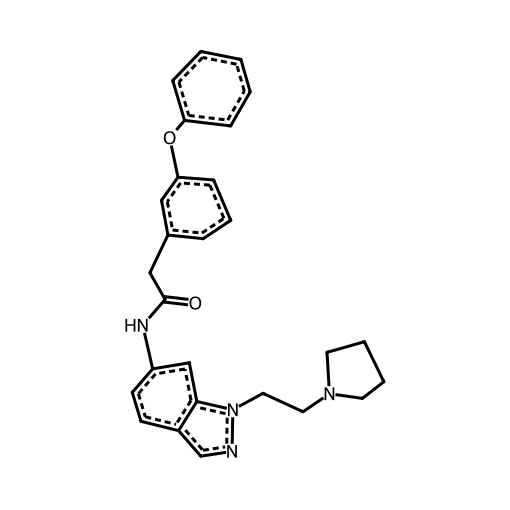 O=C(Cc1cccc(Oc2ccccc2)c1)Nc1ccc2cnn(CCN3CCCC3)c2c1